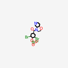 O=C(c1cc(Br)c(O[Br+2]([O-])[O-])c(Br)c1)N1CCOc2ccncc21